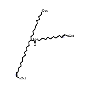 CCCCCCCC/C=C\CCCCCCCCCCCCC(CCCCCCCCCCCCCCCCCCCC)C(=O)NCCCCCCCC/C=C/CCCCCCCC